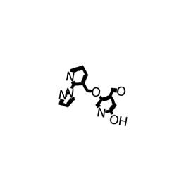 O=Cc1cc(O)ncc1OCc1cccnc1-n1cccn1